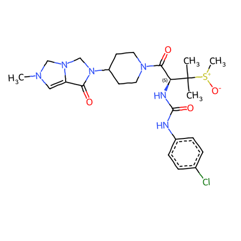 CN1C=C2C(=O)N(C3CCN(C(=O)[C@H](NC(=O)Nc4ccc(Cl)cc4)C(C)(C)[S+](C)[O-])CC3)CN2C1